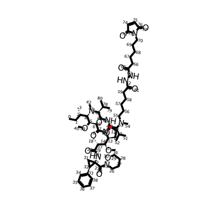 CC[C@H](C)[C@@H]([C@@H](CC(=O)N1CCC[C@H]1[C@H](OC)[C@@H](C)C(=O)N[C@@]1(C(=O)N2CCCCO2)C[C@@H]1c1ccccc1)OC)N(C)[C@H](C(=O)NC(=O)[C@H](C(C)C)N(C)CCCCCC(=O)NNC(=O)CCCCCN1C(=O)C=CC1=O)C(C)C